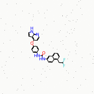 O=C(Nc1ccc(Oc2ccnc3[nH]ccc23)cc1)Nc1ccc2c(CC(F)F)cccc2c1